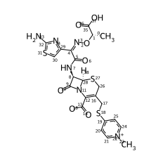 C[C@H](O/N=C(\C(=O)N[C@@H]1C(=O)N2C(C(=O)[O-])=C(CSc3cc[n+](C)cc3)CS[C@H]12)c1csc(N)n1)C(=O)O